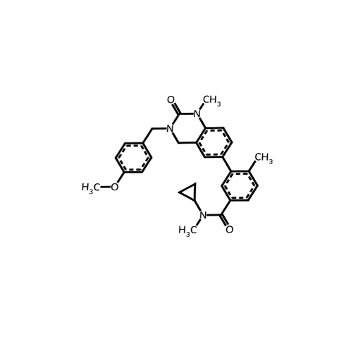 COc1ccc(CN2Cc3cc(-c4cc(C(=O)N(C)C5CC5)ccc4C)ccc3N(C)C2=O)cc1